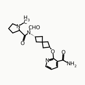 CN1CCCC1C(=O)N(C=O)[C@H]1CC2(C[C@H](Oc3ncccc3C(N)=O)C2)C1